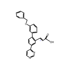 O=C(O)/C=C/c1cc(-c2ccncn2)ccc1-c1cccc(OCc2ccccc2)c1